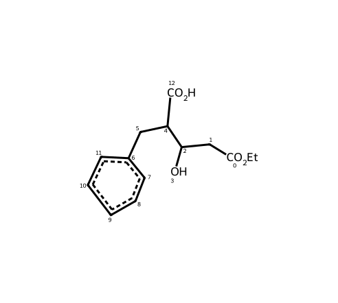 CCOC(=O)CC(O)C(Cc1ccccc1)C(=O)O